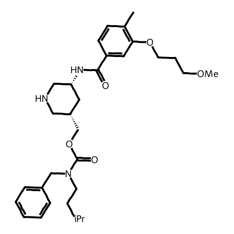 COCCCOc1cc(C(=O)N[C@H]2CNC[C@@H](COC(=O)N(CCC(C)C)Cc3ccccc3)C2)ccc1C